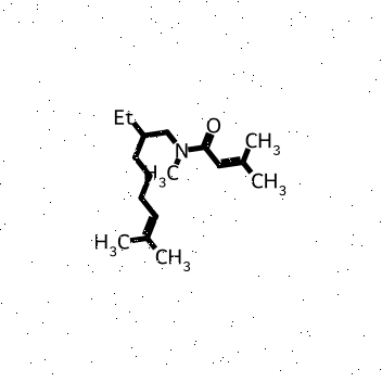 CCC(CCCC=C(C)C)CN(C)C(=O)C=C(C)C